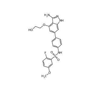 COc1ccc(F)c(S(=O)(=O)Nc2ccc(-c3cc(OCCO)c4c(N)n[nH]c4c3)cc2)c1